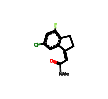 CNC(=O)/C=C1/CCc2c(F)cc(Cl)cc21